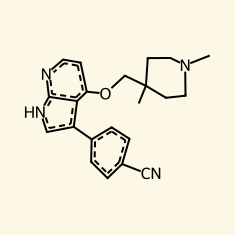 CN1CCC(C)(COc2ccnc3[nH]cc(-c4ccc(C#N)cc4)c23)CC1